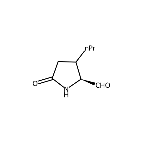 [CH2]CCC1CC(=O)N[C@@H]1C=O